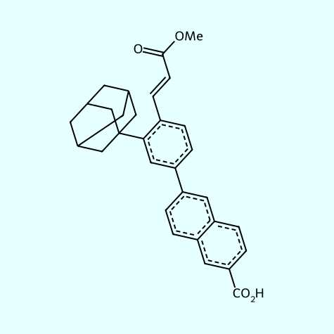 COC(=O)C=Cc1ccc(-c2ccc3cc(C(=O)O)ccc3c2)cc1C12CC3CC(CC(C3)C1)C2